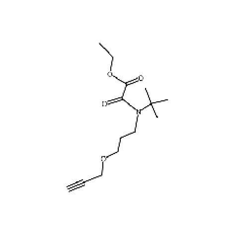 C#CCOCCCN(C(=O)C(=O)OCC)C(C)(C)C